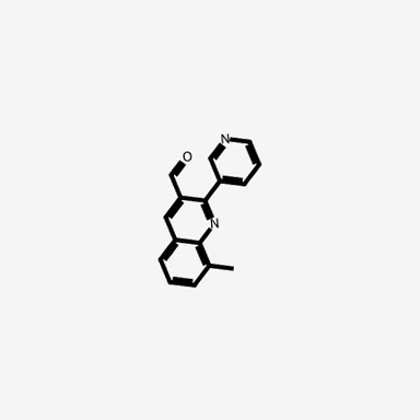 Cc1cccc2cc(C=O)c(-c3cccnc3)nc12